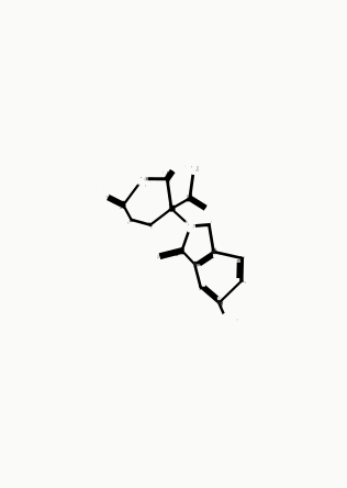 NC(=O)C1(N2Cc3ccc([C]=O)cc3C2=O)CCC(=O)NC1=O